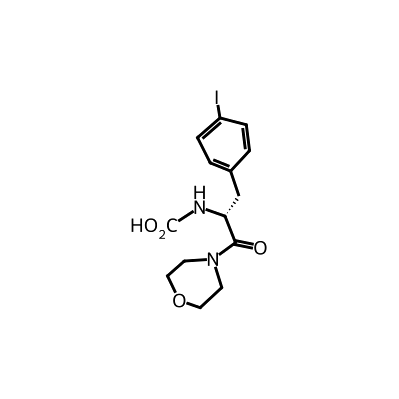 O=C(O)N[C@H](Cc1ccc(I)cc1)C(=O)N1CCOCC1